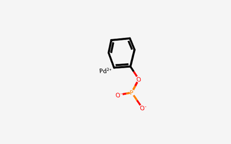 [O-]P([O-])Oc1ccccc1.[Pd+2]